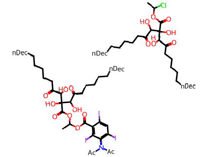 CCCCCCCCCCCCCCCC(=O)C(O)C(O)(C(=O)OC(C)Cl)C(O)C(=O)CCCCCCCCCCCCCCC.CCCCCCCCCCCCCCCC(=O)C(O)C(O)(C(=O)OC(C)OC(=O)c1c(I)cc(I)c(N(C(C)=O)C(C)=O)c1I)C(O)C(=O)CCCCCCCCCCCCCCC